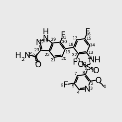 COc1ncc(F)cc1S(=O)(=O)Nc1cc(F)cc(-c2ccc3c(C(N)=O)n[nH]c3c2F)c1F